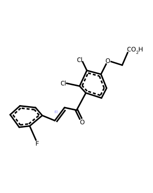 O=C(O)COc1ccc(C(=O)/C=C/c2ccccc2F)c(Cl)c1Cl